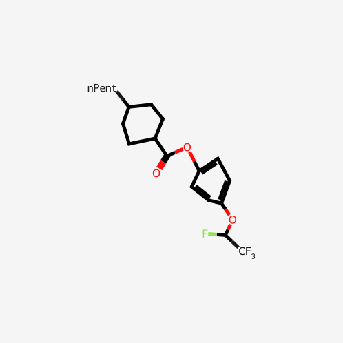 CCCCCC1CCC(C(=O)Oc2ccc(OC(F)C(F)(F)F)cc2)CC1